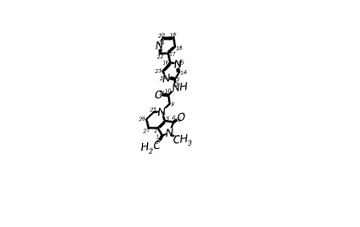 C=C1C2=C(C(=O)N1C)N(CC(=O)Nc1cnc(-c3cccnc3)cn1)CCC2